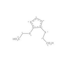 O=C(O)CSc1ccsc1SCC(=O)O